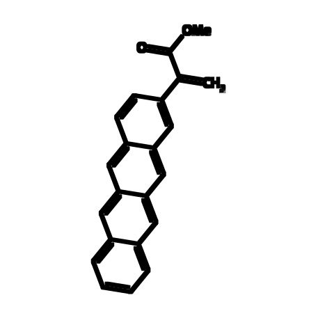 C=C(C(=O)OC)c1ccc2cc3cc4ccccc4cc3cc2c1